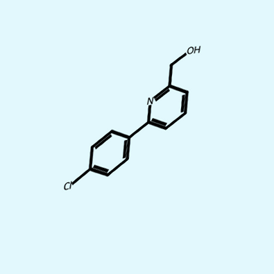 OCc1cccc(-c2ccc(Cl)cc2)n1